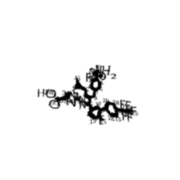 NS(=O)(=O)c1ccc(Cc2c(-c3ccc(F)c(-c4ccc(C(F)(F)C(F)(F)F)cc4)c3)nn(-c3nc(C(=O)O)cs3)c2CC2CC2)cc1F